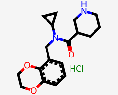 Cl.O=C(C1CCCNC1)N(Cc1cccc2c1OCCO2)C1CC1